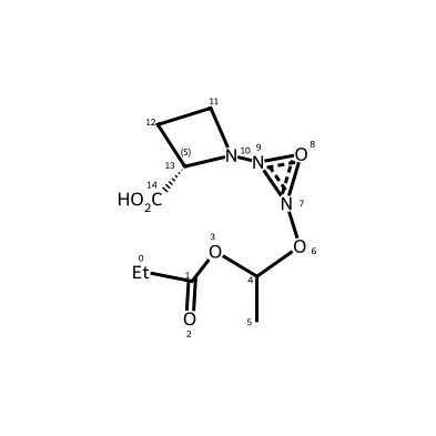 CCC(=O)OC(C)On1on1N1CC[C@H]1C(=O)O